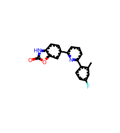 Cc1cc(F)ccc1-c1cccc(-c2ccc3[nH]c(=O)oc3c2)n1